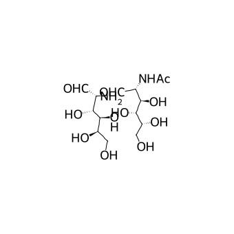 CC(=O)N[C@@H](C=O)[C@@H](O)[C@@H](O)[C@H](O)CO.N[C@@H](C=O)[C@@H](O)[C@@H](O)[C@H](O)CO